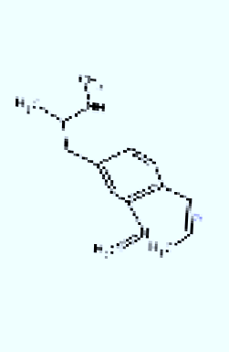 C=Nc1cc(CC(C)NC)ccc1/C=C\C